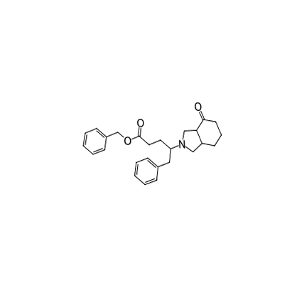 O=C(CCC(Cc1ccccc1)N1CC2CCCC(=O)C2C1)OCc1ccccc1